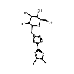 Cc1nc(-c2cn(CC3OC(CO)C(O)C(O)C3O)nn2)sc1C